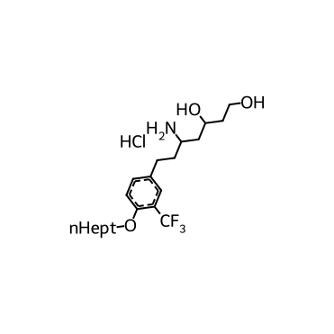 CCCCCCCOc1ccc(CCC(N)CC(O)CCO)cc1C(F)(F)F.Cl